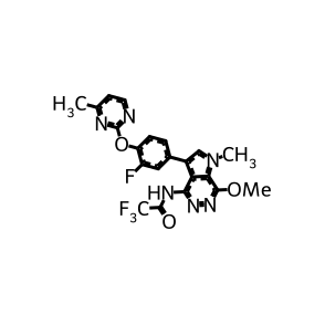 COc1nnc(NC(=O)C(F)(F)F)c2c(-c3ccc(Oc4nccc(C)n4)c(F)c3)cn(C)c12